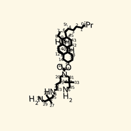 CC(C)CCC[C@@H](C)[C@H]1CC[C@H]2[C@@H]3CC=C4C[C@@H](OC(=O)N(CCCCNCC(C)(C)CN)CC(C)(C)CN)CC[C@]4(C)[C@H]3CC[C@]12C